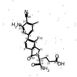 Cc1cc(-c2ccc3c(c2F)CN([C@@H](CCC(=O)O)C(N)=O)C3=O)nc(N)c1C#N